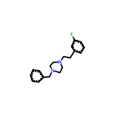 Fc1cccc(CCN2CCN(Cc3ccccc3)CC2)c1